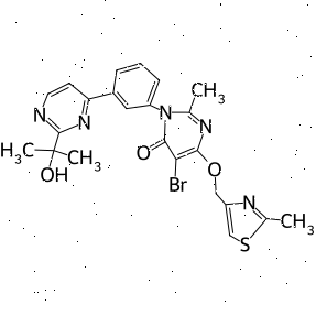 Cc1nc(COc2nc(C)n(-c3cccc(-c4ccnc(C(C)(C)O)n4)c3)c(=O)c2Br)cs1